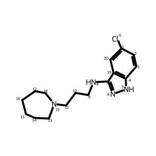 Clc1ccc2[nH]nc(NCCCN3CCCCCC3)c2c1